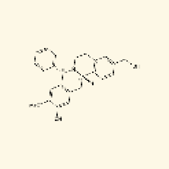 COc1cc2c(cc1O)C[C@H]1c3ccc(CO)cc3CCN1[C@H]2c1ccccc1